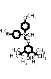 COc1ccc([Si](C)(COc2cc(C(C)(C)C)c(O)c(C(C)(C)C)c2)c2ccc(OC)cc2)cc1